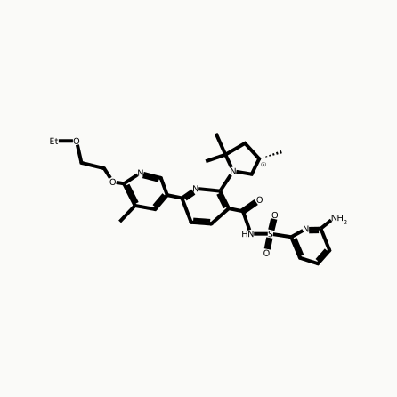 CCOCCOc1ncc(-c2ccc(C(=O)NS(=O)(=O)c3cccc(N)n3)c(N3C[C@@H](C)CC3(C)C)n2)cc1C